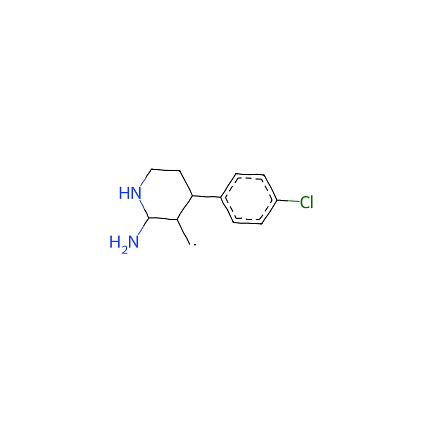 [CH2]C1C(N)NCCC1c1ccc(Cl)cc1